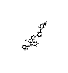 Nc1ccc(-c2ccnc(N3CCC(C(F)(F)F)C3)c2)nc1N(C(=O)Nc1cnccn1)C1CCCC1